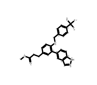 COC(=O)CCc1ccc(OCc2ccc(C(F)(F)F)cc2)c(-c2ccc3[nH]ncc3c2)c1